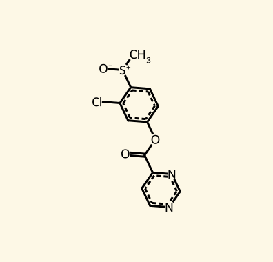 C[S+]([O-])c1ccc(OC(=O)c2ccncn2)cc1Cl